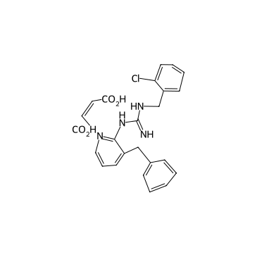 N=C(NCc1ccccc1Cl)Nc1ncccc1Cc1ccccc1.O=C(O)/C=C\C(=O)O